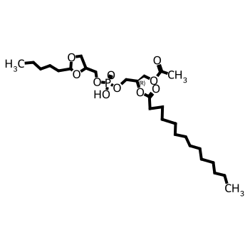 CCCCCCCCCCCCCC(=O)O[C@H](COC(C)=O)COP(=O)(O)OCC1COC(CCCCC)O1